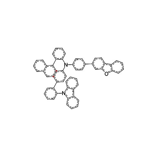 c1ccc(N(c2ccc(-c3ccc4c(c3)oc3ccccc34)cc2)c2ccc(-c3ccccc3-n3c4ccccc4c4ccccc43)cc2)c(-c2cccc3ccccc23)c1